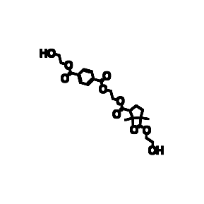 CC1(C(=O)OCCO)CCC(C(=O)OCCOC(=O)c2ccc(C(=O)OCCO)cc2)C1(C)C